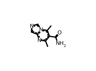 Cc1nc2cncn2c(C)c1C(N)=O